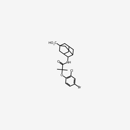 CC(C)(Oc1ccc(Br)cc1Cl)C(=O)NC1C2CC3CC1CC(C(=O)O)(C3)C2